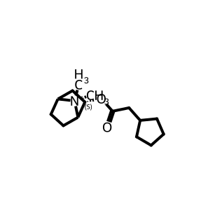 C[N+]1(C)C2CCC1[C@@H](OC(=O)CC1CCCC1)C2